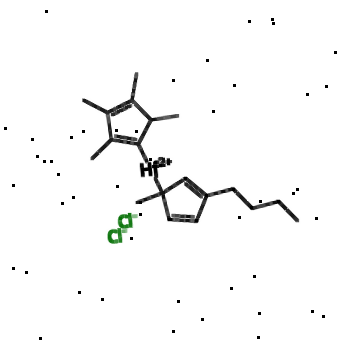 CCCCC1=C[C](C)([Hf+2][C]2=C(C)C(C)=C(C)C2C)C=C1.[Cl-].[Cl-]